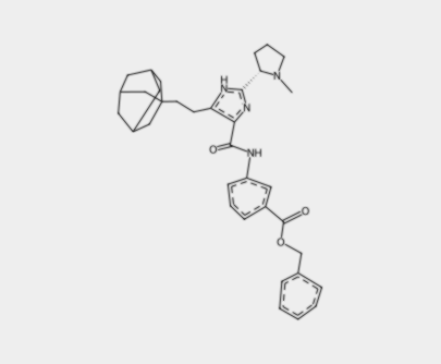 CN1CCC[C@H]1c1nc(C(=O)Nc2cccc(C(=O)OCc3ccccc3)c2)c(CCC23CC4CC(CC(C4)C2)C3)[nH]1